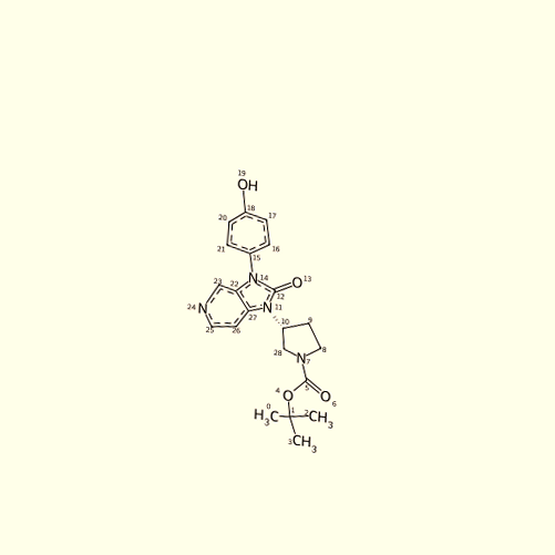 CC(C)(C)OC(=O)N1CC[C@@H](n2c(=O)n(-c3ccc(O)cc3)c3cnccc32)C1